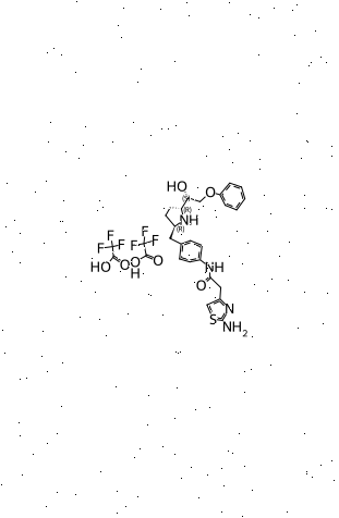 Nc1nc(CC(=O)Nc2ccc(C[C@H]3CC[C@H]([C@H](O)COc4ccccc4)N3)cc2)cs1.O=C(O)C(F)(F)F.O=C(O)C(F)(F)F